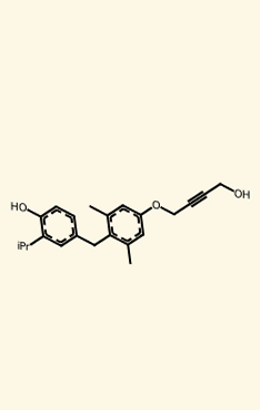 Cc1cc(OCC#CCO)cc(C)c1Cc1ccc(O)c(C(C)C)c1